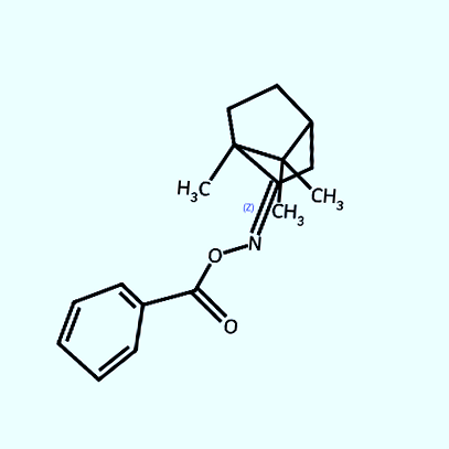 CC12CCC(C/C1=N/OC(=O)c1ccccc1)C2(C)C